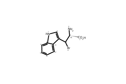 N[C@H](C(=O)O)C(Br)c1c[nH]c2ccccc12